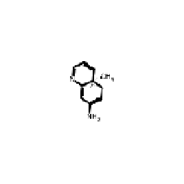 C[C@@]12C=CC=NC1=CC(N)=CC2